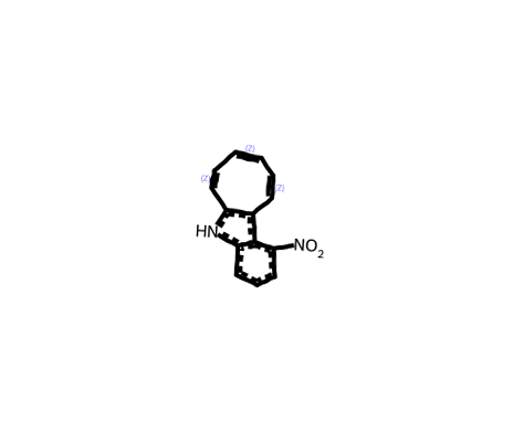 O=[N+]([O-])c1cccc2[nH]c3c(c12)\C=C/C=C\C=C/3